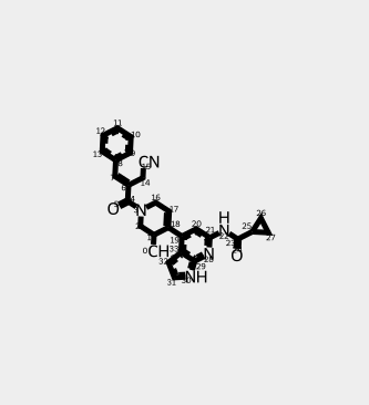 CC1CN(C(=O)C(=Cc2ccccc2)CC#N)CC=C1c1cc(NC(=O)C2CC2)nc2[nH]ccc12